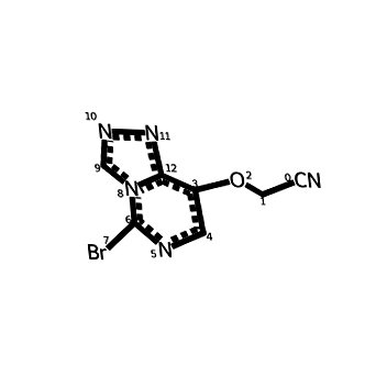 N#CCOc1cnc(Br)n2cnnc12